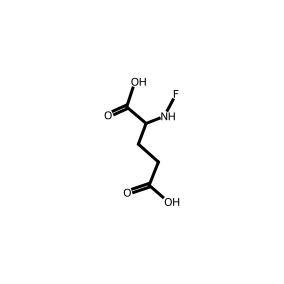 O=C(O)CCC(NF)C(=O)O